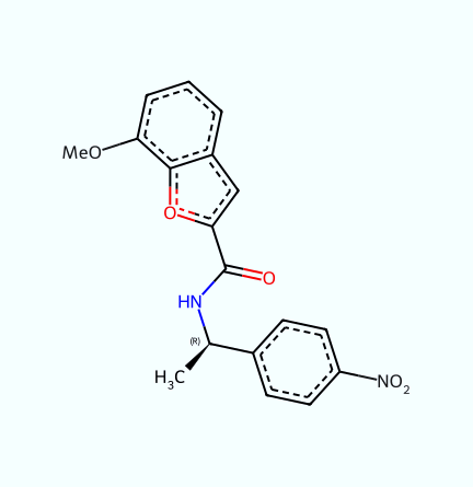 COc1cccc2cc(C(=O)N[C@H](C)c3ccc([N+](=O)[O-])cc3)oc12